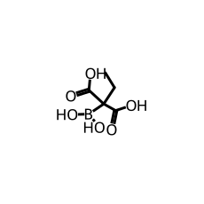 CCC(B(O)O)(C(=O)O)C(=O)O